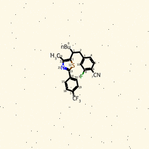 CCCCC(Cc1ccc(C#N)c(F)c1)c1sc(-c2ccc(C(F)(F)F)cc2)nc1C